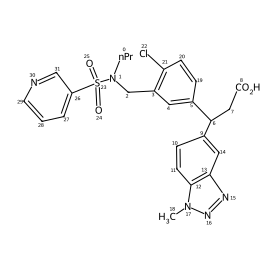 CCCN(Cc1cc(C(CC(=O)O)c2ccc3c(c2)nnn3C)ccc1Cl)S(=O)(=O)c1cccnc1